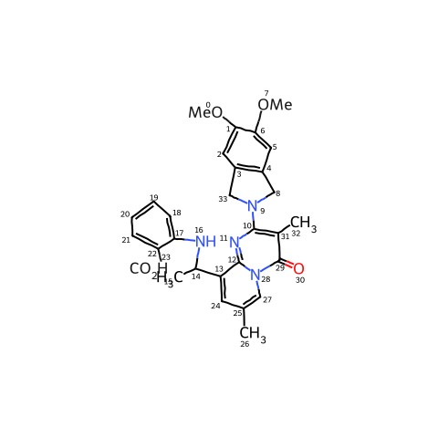 COc1cc2c(cc1OC)CN(c1nc3c(C(C)Nc4ccccc4C(=O)O)cc(C)cn3c(=O)c1C)C2